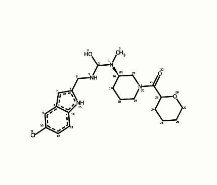 CN(C(O)NCc1cc2cc(Cl)ccc2[nH]1)[C@@H]1CCCN(C(=O)C2CCCCO2)C1